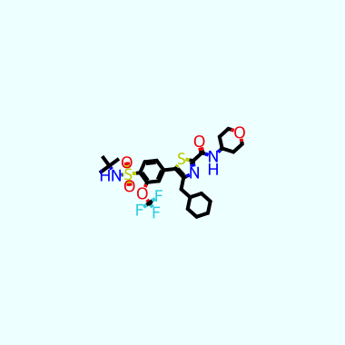 CC(C)(C)NS(=O)(=O)c1ccc(-c2sc(C(=O)NC3CCOCC3)nc2CC2CCCCC2)cc1OC(F)(F)F